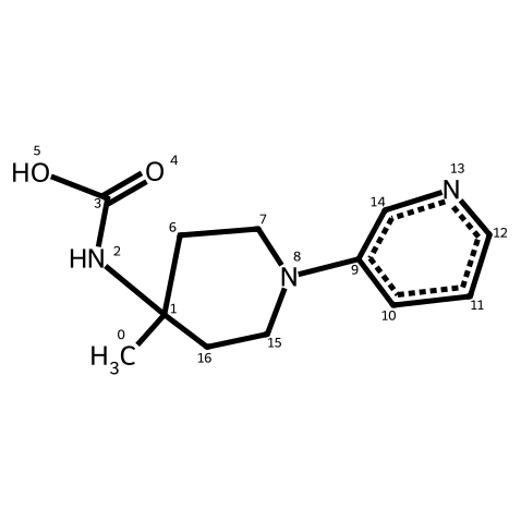 CC1(NC(=O)O)CCN(c2cccnc2)CC1